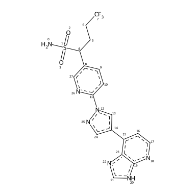 NS(=O)(=O)C(CCC(F)(F)F)c1ccc(-n2cc(-c3ccnc4[nH]cnc34)cn2)nc1